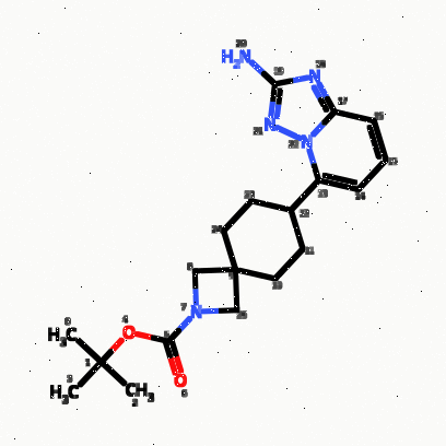 CC(C)(C)OC(=O)N1CC2(CCC(c3cccc4nc(N)nn34)CC2)C1